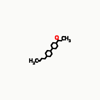 C=CCCC1CCC(C2CCC(C(=O)CC)CC2)CC1